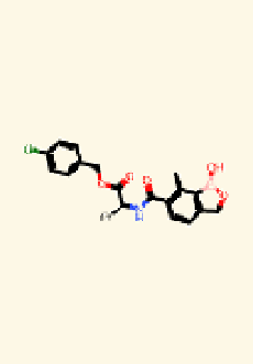 Cc1c(C(=O)N[C@H](C(=O)OCc2ccc(Cl)cc2)C(C)C)ccc2c1B(O)OC2